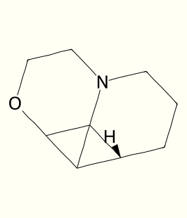 C1C[C@@H]2C3C4OCCN(C1)C432